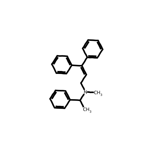 CC(c1ccccc1)N(C)CC=C(c1ccccc1)c1ccccc1